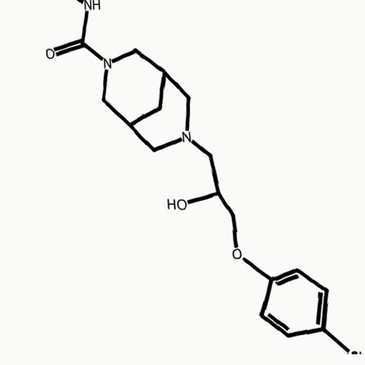 CC(C)(C)NC(=O)N1CC2CC(CN(CC(O)COc3ccc(C#N)cc3)C2)C1